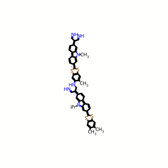 Cc1cc2c(cc1C)SC(=c1ccc3c4cc/c(=C(/C=N)CNc5cc6c(cc5C)S/C(=c5/ccc7c8ccc(=C(C=N)C=N)cc8n(C)c7c5)S6)cc4n(C(C)C)c3c1)S2